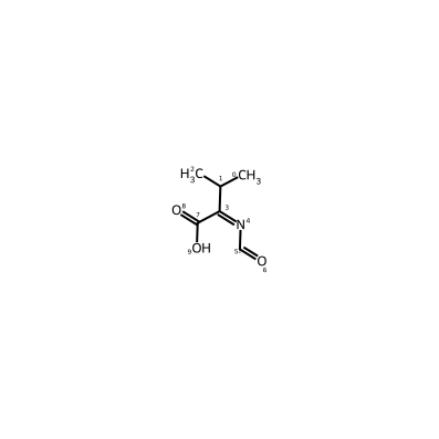 CC(C)C(=N[C]=O)C(=O)O